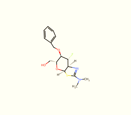 CN(C)C1=N[C@@H]2[C@@H](F)[C@H](OCc3ccccc3)[C@@H](CO)O[C@@H]2S1